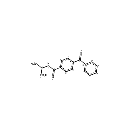 CCCCCCCCCC(NC(=O)c1ccc(C(=O)c2ccccc2)cc1)C(=O)O